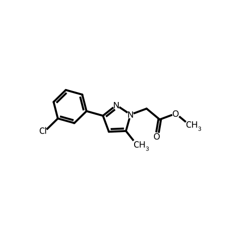 COC(=O)Cn1nc(-c2cccc(Cl)c2)cc1C